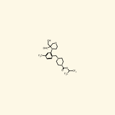 O=CC1(CO)COCCN1c1cc(C(F)(F)F)ccc1CN1CCN(C(=O)OC(C(F)(F)F)C(F)(F)F)CC1